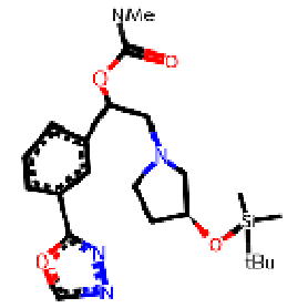 CNC(=O)OC(CN1CC[C@H](O[Si](C)(C)C(C)(C)C)C1)c1cccc(-c2nnco2)c1